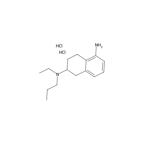 CCCN(CC)C1CCc2c(N)cccc2C1.Cl.Cl